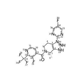 C[C@H]1C2=C(CCN1C(=O)c1ccnc(C(F)(F)F)c1F)N(c1ncc(F)cn1)NN2